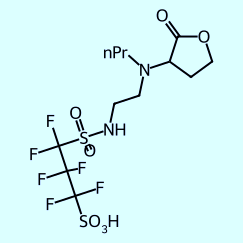 CCCN(CCNS(=O)(=O)C(F)(F)C(F)(F)C(F)(F)S(=O)(=O)O)C1CCOC1=O